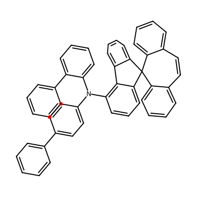 C1=Cc2ccccc2C2(c3ccccc31)c1ccccc1-c1c(N(c3ccc(-c4ccccc4)cc3)c3ccccc3-c3ccccc3)cccc12